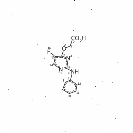 O=C(O)COc1nc(Nc2ccccc2)ncc1F